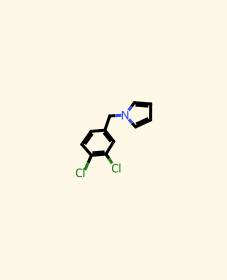 Clc1ccc(Cn2cccc2)cc1Cl